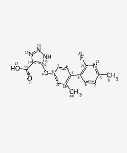 Cc1ccc(-c2ccc(Oc3[nH]nnc3C(=O)O)cc2C)c(F)n1